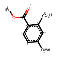 COc1ccc(C(=O)OC(C)C)c(C(=O)O)c1